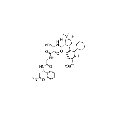 CCCC(NC(=O)[C@H]1C(C(=O)[C@@H](NC(=O)OC(C)(C)C)C2CCCCC2)C[C@H]2[C@@H]1C2(C)C)C(=O)C(=O)NCC(=O)N[C@@H](CC(=O)N(C)C)c1ccccc1